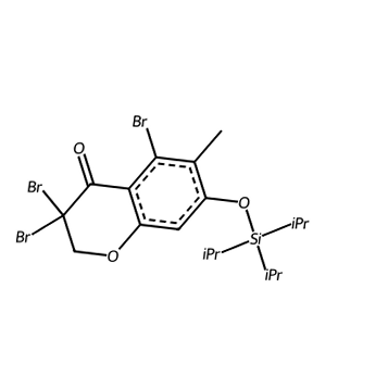 Cc1c(O[Si](C(C)C)(C(C)C)C(C)C)cc2c(c1Br)C(=O)C(Br)(Br)CO2